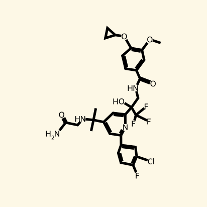 COc1cc(C(=O)NCC(O)(c2cc(C(C)(C)NCC(N)=O)cc(-c3ccc(F)c(Cl)c3)n2)C(F)(F)F)ccc1OC1CC1